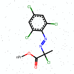 CCCOC(=O)C(C)(Cl)N=Nc1c(Cl)cc(Cl)cc1Cl